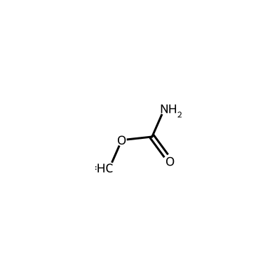 [CH]OC(N)=O